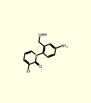 CCc1cccn(-c2ccc(N)cc2COC)c1=O